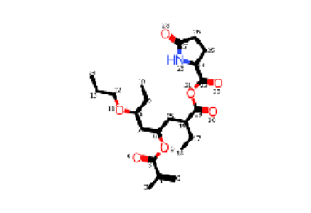 C=C(C)C(=O)OC(CC(CC)OCCC)CC(CC)C(=O)OC(=O)C1CCC(=O)N1